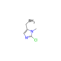 BCc1cnc(Cl)n1C